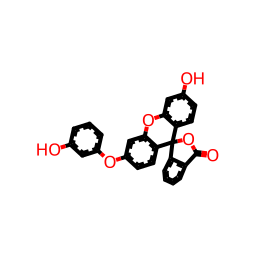 O=C1OC2(c3ccc(O)cc3Oc3cc(Oc4cccc(O)c4)ccc32)c2ccccc21